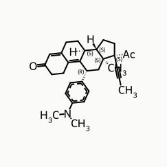 CC#C[C@]1(C(C)=O)CC[C@H]2[C@@H]3CCC4=CC(=O)CCC4=C3[C@@H](c3ccc(N(C)C)cc3)C[C@@]21C